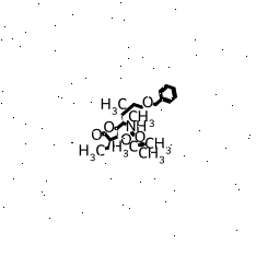 CC[C@@H]1C[C@@H]([C@H](CC(C)(C)CCOCc2ccccc2)NC(=O)OC(C)(C)C)OC1=O